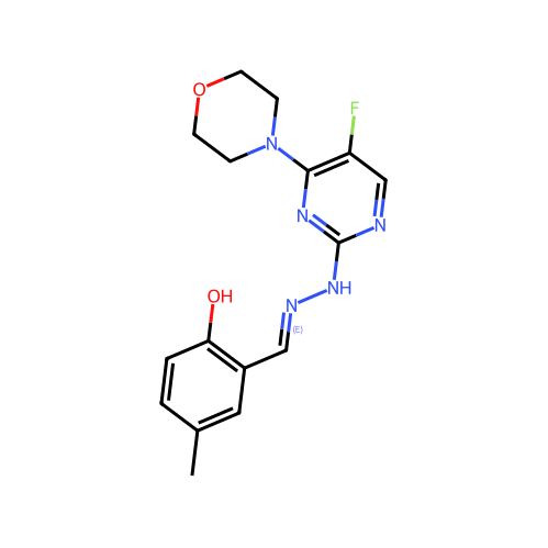 Cc1ccc(O)c(/C=N/Nc2ncc(F)c(N3CCOCC3)n2)c1